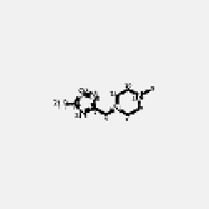 [2H]c1nc(CN2CCN(C)CC2)ns1